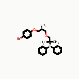 C[C@@H](COCC(C)(C)[SiH](c1ccccc1)c1ccccc1)COc1ccc(Br)cc1